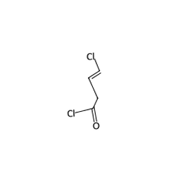 O=C(Cl)CC=CCl